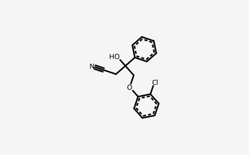 N#CCC(O)(COc1ccccc1Cl)c1ccccc1